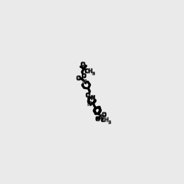 CC1(COC(=O)N2CCC(COc3cnc(-c4ccc(S(C)(=O)=O)cc4)cn3)CC2)COC1